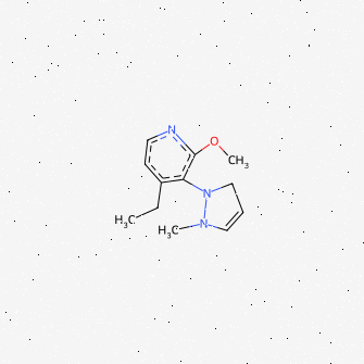 CCc1ccnc(OC)c1N1CC=CN1C